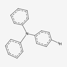 [3H]c1ccc(N(c2ccccc2)c2ccccc2)cc1